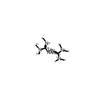 CN(C)C(=N)N(C)C.CN=C(NC)N(C)C